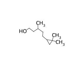 CC(CCO)CCC1CC1(C)C